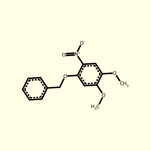 COc1cc(OCc2ccccc2)c([N+](=O)[O-])cc1OC